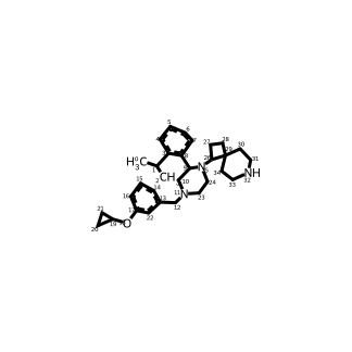 CC(C)c1ccccc1C1CN(Cc2cccc(OC3CC3)c2)CCN1C1CCC12CCNCC2